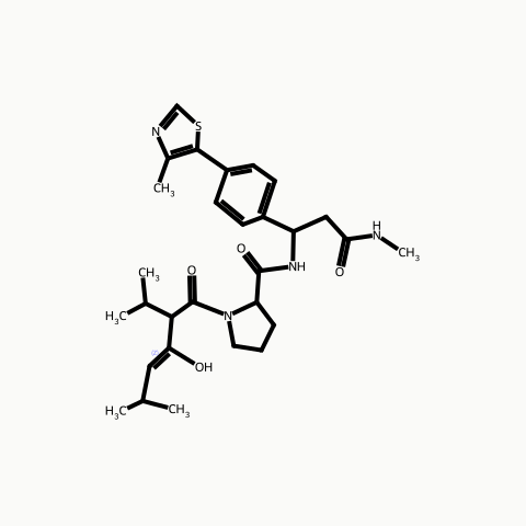 CNC(=O)CC(NC(=O)C1CCCN1C(=O)C(/C(O)=C/C(C)C)C(C)C)c1ccc(-c2scnc2C)cc1